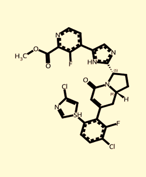 COC(=O)c1nccc(-c2cnc([C@@H]3CC[C@@H]4CC(c5c([SH]6C=NC(Cl)=C6)ccc(Cl)c5F)=CC(=O)N43)[nH]2)c1F